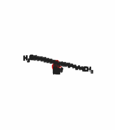 CCCCCCCCCCCCCCCCOCCCCCCCCCCCCCCCC.O=P([O-])([O-])[O-].[Na+].[Na+].[Na+]